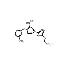 Cc1cccc(Oc2ccc(-c3nnc(SCC(=O)O)[nH]3)cc2NO)c1